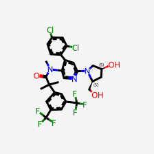 CN(C(=O)C(C)(C)c1cc(C(F)(F)F)cc(C(F)(F)F)c1)c1cnc(N2C[C@@H](O)C[C@H]2CO)cc1-c1ccc(Cl)cc1Cl